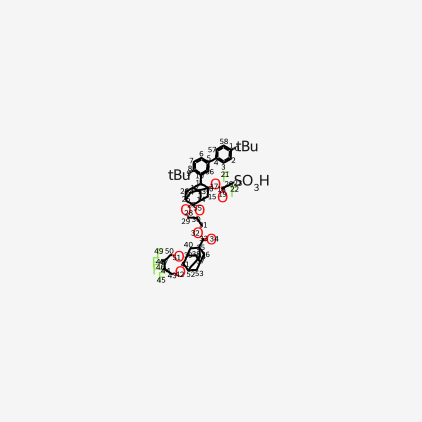 CC(C)(C)c1ccc(-c2ccc(C(C)(C)C)c(C3C4CC5CC3(OC(=O)C(F)(F)S(=O)(=O)O)CC(C4)C53OCC(COC(=O)C45CC6CC(C4)C4(OCC(F)(F)C(F)(F)CO4)C(C6)C5)O3)c2)cc1